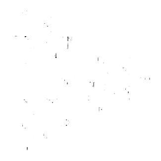 Cn1c(=O)c2c(ncn2CN(Cn2cnc3c2c(=O)n(C)c(=O)n3C)Cn2cnc3c2c(=O)n(C)c(=O)n3C)n(C)c1=O